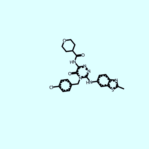 Cc1nc2ccc(Nc3nnc(NC(=O)C4CCOCC4)c(=O)n3Cc3ccc(Cl)cc3)cc2s1